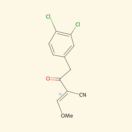 CO/C=C(\C#N)C(=O)Cc1ccc(Cl)c(Cl)c1